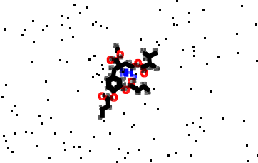 CCCC(=O)Oc1ccc(C[C@](N)(CCOC(=O)C(C)C(C)C)C(=O)OC)cc1OC(=O)CCC